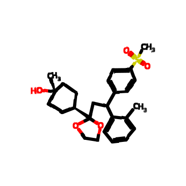 Cc1ccccc1C(CC1([C@H]2CC[C@](C)(O)CC2)OCCO1)c1ccc(S(C)(=O)=O)cc1